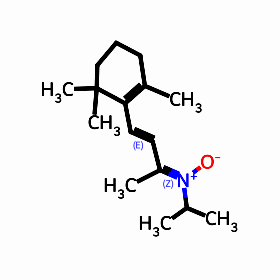 CC1=C(/C=C/C(C)=[N+](\[O-])C(C)C)C(C)(C)CCC1